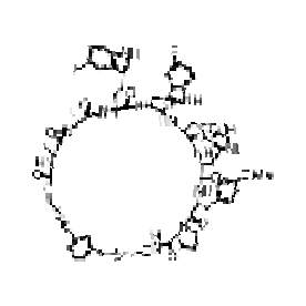 COc1ccc(C[C@@H]2NC(=O)[C@H](Cc3ncc[nH]3)NC(=O)[C@H](CC(=O)O)NC(=O)[C@H](Cc3c[nH]c4ccc(F)cc34)NC(=O)[C@H](CCc3c[nH]c4ccc(F)cc34)NC(=O)[C@@H](C)NC(=O)[C@H](C)NC(=O)CCSCc3cccc(c3)CSCCNC(=O)[C@]3(C)CCCN3C2=O)cc1